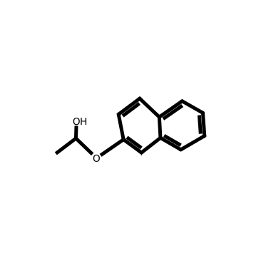 CC(O)Oc1[c]c2ccccc2cc1